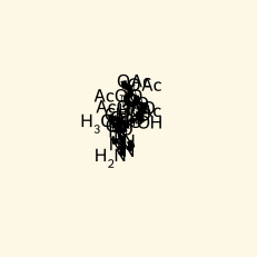 CC(=O)OC[C@@H](OC(C)=O)[C@H]1O[C@@H](OP(=O)(O)OP(=O)(O)OC[C@H]2O[C@@H](n3cnc4c(N)ncnc43)[C@@H]3OC(C)(C)O[C@@H]32)[C@@H](OC(C)=O)[C@@H](OC(C)=O)[C@@H]1OC(C)=O